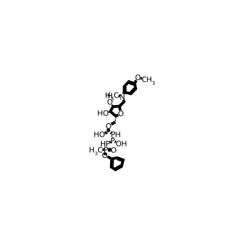 COc1ccc(N(C)CC2O[C@H](COP(O)PP(O)PP(C)(=O)Oc3ccccc3)[C@@H](O)[C@H]2O)cc1